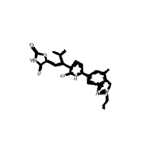 CCn1cc2c(C)cc(-c3ccc(C(/C=C4\OC(=O)NC4=O)C(C)C)c(=O)[nH]3)cc2n1